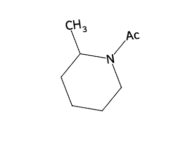 CC(=O)N1CCCCC1C